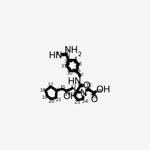 N=C(N)c1ccc(CNC(=O)[C@]2(CC(O)CC3CCCCC3)CCCN2CC(=O)O)cc1